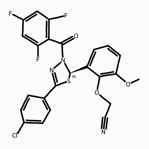 COc1cccc([C@H]2SC(c3ccc(Cl)cc3)=NN2C(=O)c2c(F)cc(F)cc2F)c1OCC#N